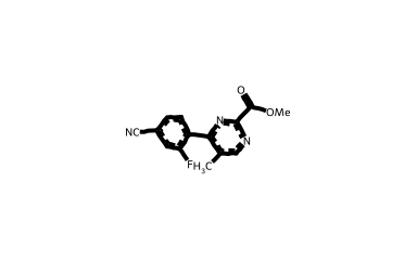 COC(=O)c1ncc(C)c(-c2ccc(C#N)cc2F)n1